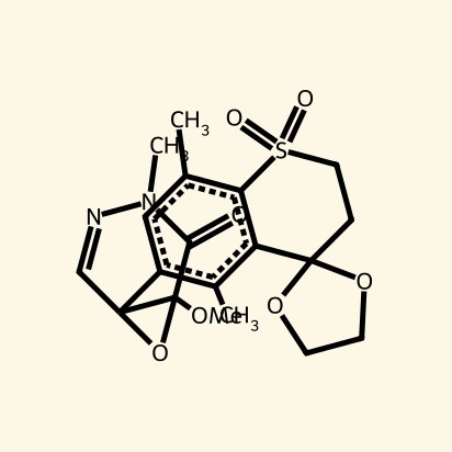 COC12OC1(c1cc(C)c3c(c1C)C1(CCS3(=O)=O)OCCO1)C=NN(C)C2=O